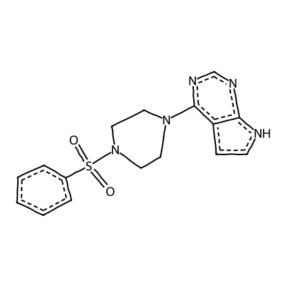 O=S(=O)(c1ccccc1)N1CCN(c2ncnc3[nH]ccc23)CC1